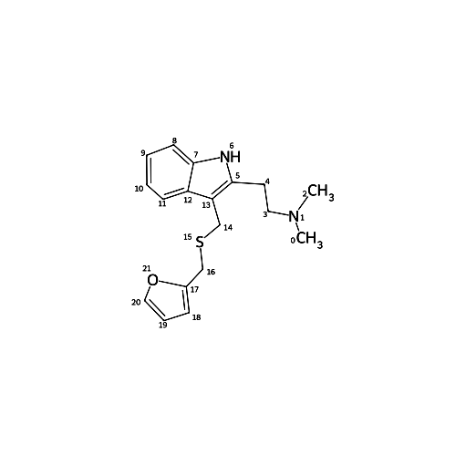 CN(C)CCc1[nH]c2ccccc2c1CSCc1ccco1